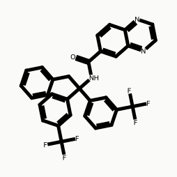 O=C(NC(Cc1ccccc1)(c1cccc(C(F)(F)F)c1)c1cccc(C(F)(F)F)c1)c1ccc2nccnc2c1